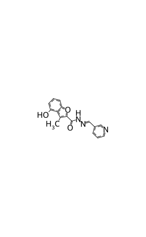 Cc1c(C(=O)NN=Cc2cccnc2)oc2cccc(O)c12